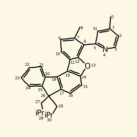 Cc1ccnc(-c2c(C)ccc3c2oc2ccc4c(c23)-c2ccccc2C4(CC(C)C)CC(C)C)c1